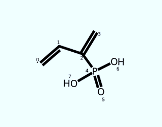 [CH]=CC(=C)P(=O)(O)O